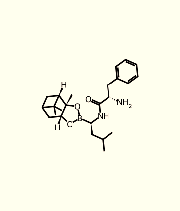 CC(C)C[C@H](NC(=O)[C@@H](N)Cc1ccccc1)B1O[C@@H]2CC3C[C@@H](C3(C)C)[C@]2(C)O1